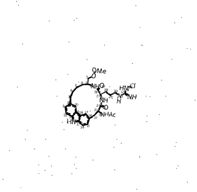 COOC[C@@H]1CCCCc2ccc3[nH]c4ccc(cc4c3c2)CC(NC(C)=O)C(=O)N[C@H](CCCNC(=N)NCl)C(=O)N1